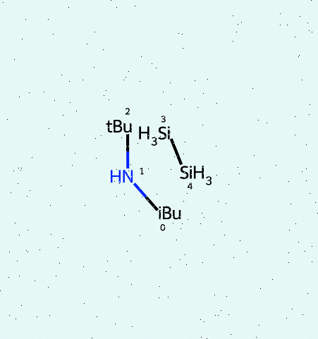 CCC(C)NC(C)(C)C.[SiH3][SiH3]